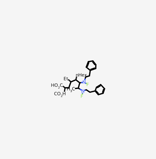 CCCCCCC(C(CC)CC(C(=O)O)C(=O)O)C(C(C)N(F)CCc1ccccc1)N(F)CCc1ccccc1